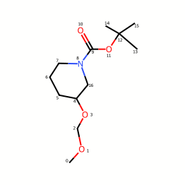 COCOC1CCCN(C(=O)OC(C)(C)C)C1